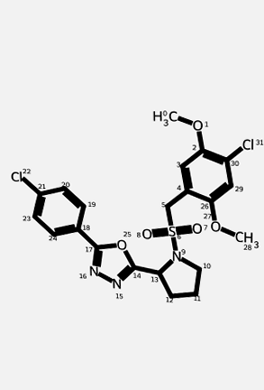 COc1cc(CS(=O)(=O)N2CCCC2c2nnc(-c3ccc(Cl)cc3)o2)c(OC)cc1Cl